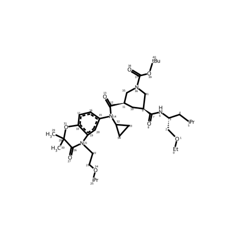 CCOC[C@@H](CC(C)C)NC(=O)[C@H]1C[C@@H](C(=O)N(c2ccc3c(c2)N(CCOC(C)C)C(=O)C(C)(C)O3)C2CC2)CN(C(=O)OC(C)(C)C)C1